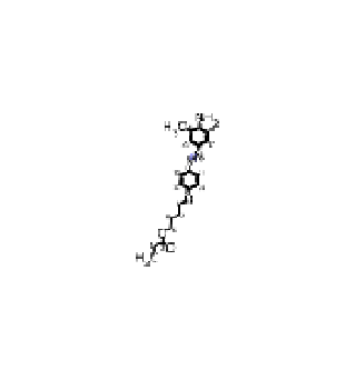 C=CC(=O)OCCCCOc1ccc(/N=N/c2ccc(N)c(C)c2)cc1